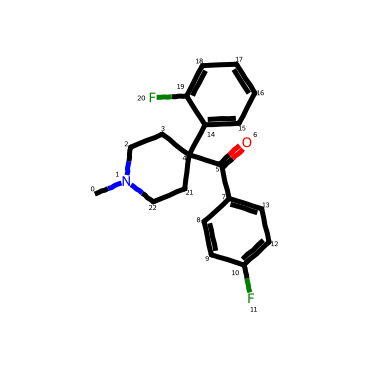 CN1CCC(C(=O)c2ccc(F)cc2)(c2ccccc2F)CC1